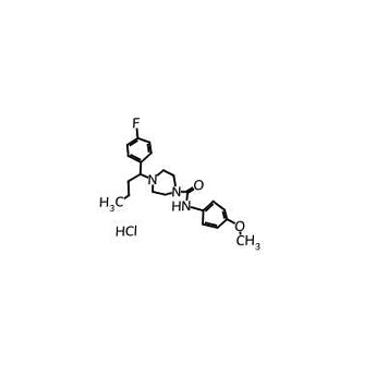 CCCC(c1ccc(F)cc1)N1CCN(C(=O)Nc2ccc(OC)cc2)CC1.Cl